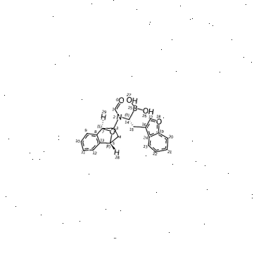 O=CN(C1C[C@H]2O[C@H]1c1ccccc12)[C@@H](Cc1coc2ccccc12)B(O)O